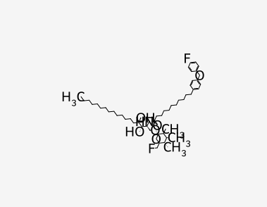 CCCCCCCCCCCCCC[C@@H](O)[C@@H](O)[C@H](CO[C@H]1OC(CF)[C@@H](C)[C@H](C)C1C)NC(=O)CCCCCCCCCCc1ccc(Oc2ccc(F)cc2)cc1